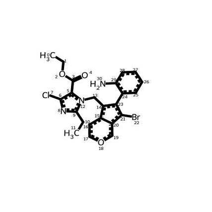 CCOC(=O)c1c(Cl)nc(CC)n1Cc1c2ccocc-2c(Br)c1-c1ccccc1N